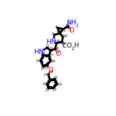 NC(=O)C1CC12CNC(C(=O)C1CNc3ccc(OCc4ccccc4)cc31)C(C(=O)O)C2